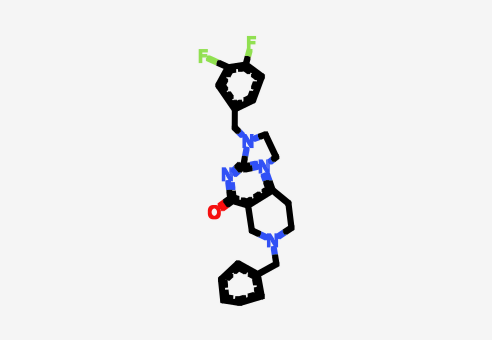 O=c1nc2n(c3c1CN(Cc1ccccc1)CC3)CCN2Cc1ccc(F)c(F)c1